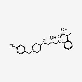 CC(C(=O)O)c1ccccc1OC[C@@H](O)CNC1CCN(Cc2ccc(Cl)cc2)CC1